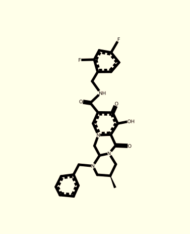 C[C@H]1CN(Cc2ccccc2)C2Cn3cc(C(=O)NCc4ccc(F)cc4F)c(=O)c(O)c3C(=O)N2C1